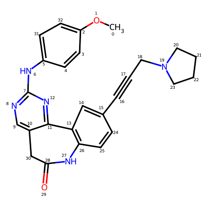 COc1ccc(Nc2ncc3c(n2)-c2cc(C#CCN4CCCC4)ccc2NC(=O)C3)cc1